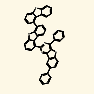 c1ccc(-c2ccc3oc4c(-c5ccccc5)nc(-c5cccc6oc7c(-c8cccc9oc%10ccccc%10c89)cccc7c56)nc4c3c2)cc1